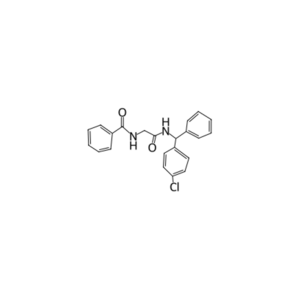 O=C(CNC(=O)c1ccccc1)NC(c1ccccc1)c1ccc(Cl)cc1